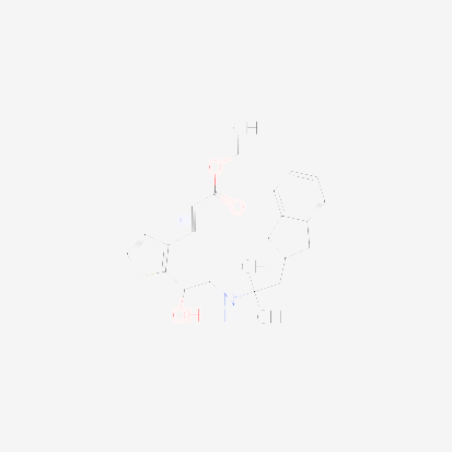 CCOC(=O)/C=C/c1ccsc1C(O)CNC(C)(C)CC1Cc2ccccc2C1